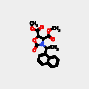 COC(=O)C1OC(=O)N(C(C)c2cccc3ccccc23)C1C(=O)OC